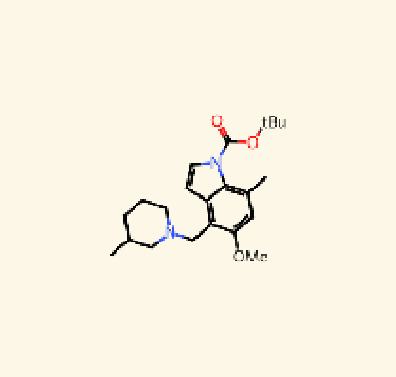 COc1cc(C)c2c(ccn2C(=O)OC(C)(C)C)c1CN1CCCC(C)C1